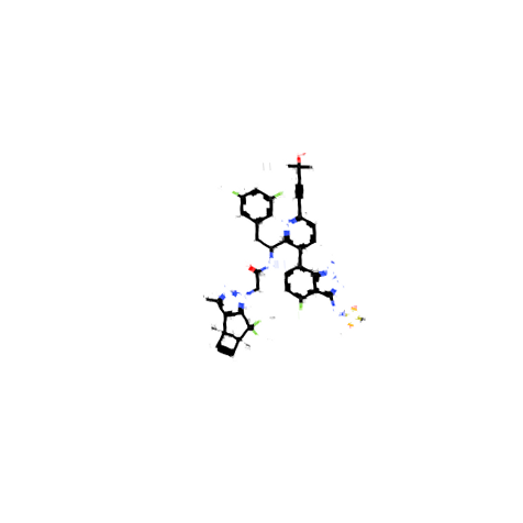 Cn1nc(NS(C)(=O)=O)c2c(F)ccc(-c3ccc(C#CC(C)(C)O)nc3C(Cc3cc(F)cc(F)c3)NC(=O)Cn3nc(C(F)(F)F)c4c3C(F)(F)[C@@H]3C#C[C@H]43)c21